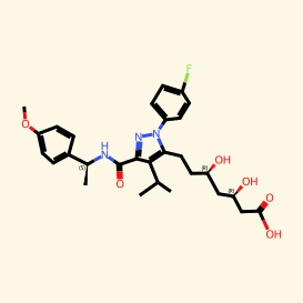 COc1ccc([C@H](C)NC(=O)c2nn(-c3ccc(F)cc3)c(CC[C@@H](O)C[C@@H](O)CC(=O)O)c2C(C)C)cc1